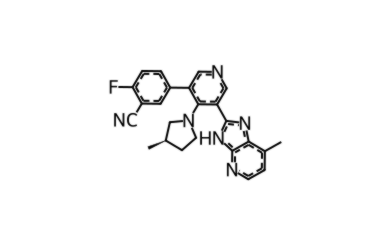 Cc1ccnc2[nH]c(-c3cncc(-c4ccc(F)c(C#N)c4)c3N3CC[C@@H](C)C3)nc12